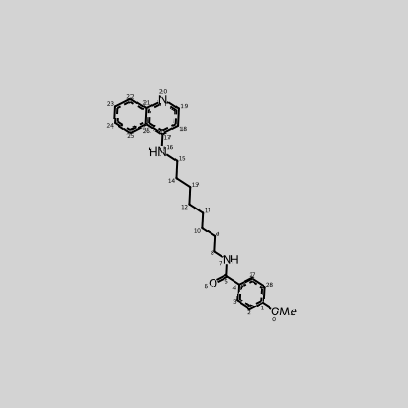 COc1ccc(C(=O)NCCCCCCCCNc2ccnc3ccccc23)cc1